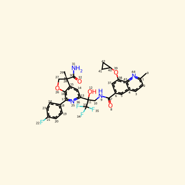 Cc1ccc2cc(C(=O)NCC(O)(c3cc4c(c(-c5ccc(F)cc5)n3)OC[C@]4(C)C(N)=O)C(F)(F)F)cc(OC3CC3)c2n1